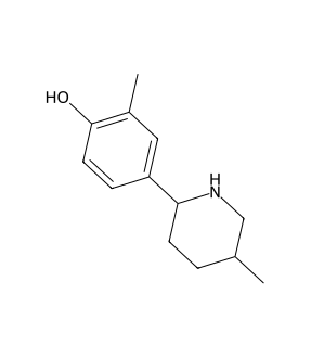 Cc1cc(C2CCC(C)CN2)ccc1O